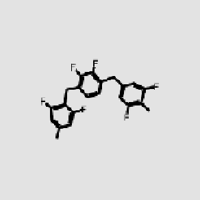 Cc1cc(F)c(Cc2ccc(Cc3cc(F)c(C)c(F)c3)c(F)c2F)c(F)c1